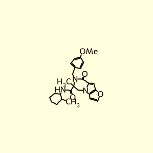 COc1ccc(CN2C(=O)c3cc4occc4n3CC2(C)C(=O)NC2CCCCC2C)cc1